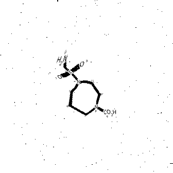 NS(=O)(=O)N1CCCN(C(=O)O)CC1